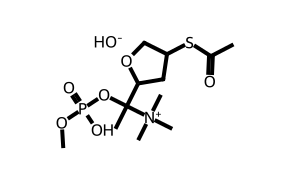 COP(=O)(O)OC(C)(C1CC(SC(C)=O)CO1)[N+](C)(C)C.[OH-]